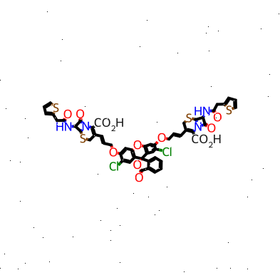 O=C(Cc1cccs1)NC1C(=O)N2C(C(=O)O)=C(/C=C/COc3cc4c(cc3Cl)C3(OC(=O)c5ccccc53)c3cc(Cl)c(OC/C=C/C5=C(C(=O)O)N6C(=O)C(NC(=O)Cc7cccs7)C6SC5)cc3O4)CSC12